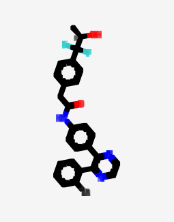 CCc1ccccc1-c1nccnc1-c1ccc(NC(=O)Cc2ccc(C(F)(F)[C@@H](C)O)cc2)cc1